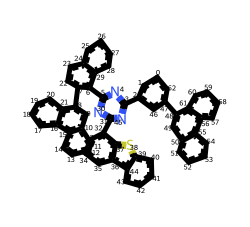 c1cc(-c2nc(-c3c(-c4cc5ccccc5c5ccccc45)ccc4ccccc34)nc(-c3cccc4c3sc3ccccc34)n2)cc(-c2cc3ccccc3c3ccccc23)c1